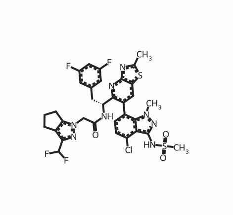 Cc1nc2nc([C@@H](Cc3cc(F)cc(F)c3)NC(=O)Cn3nc(C(F)F)c4c3CCC4)c(-c3ccc(Cl)c4c(NS(C)(=O)=O)nn(C)c34)cc2s1